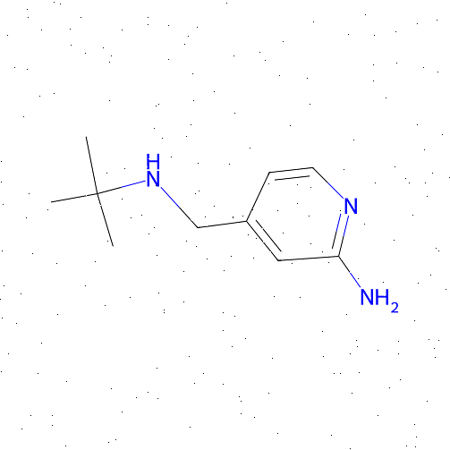 CC(C)(C)NCc1ccnc(N)c1